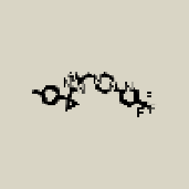 Cc1ccc(C2(c3noc(CN4CCN(c5ccc(C(F)(F)F)cn5)CC4)n3)CC2)cc1